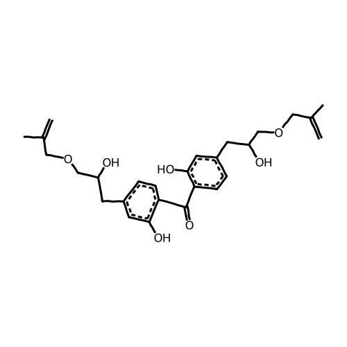 C=C(C)COCC(O)Cc1ccc(C(=O)c2ccc(CC(O)COCC(=C)C)cc2O)c(O)c1